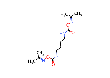 CC(C)=NOC(=O)NCCCCNC(=O)ON=C(C)C